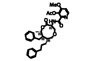 COc1ccnc(C(=O)N[C@H]2COC[C@H](CCCc3ccccc3)[C@@H](Cc3ccccc3)[C@H](C)OC2=O)c1OC(C)=O